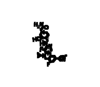 Cn1cc(-c2ccc(CN(c3ncnc(NC[C@@H]4CCN(CC(N)=O)C[C@]4(C)O)c3F)C3CC3)c(F)c2)cn1